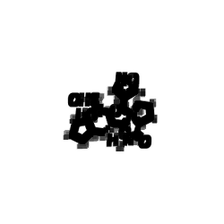 NC(=O)[C@@H]1CCC[N+]1(C(=O)c1cnoc1)C(=O)[C@H](CC1CCCC1)CN(O)C=O